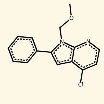 COCn1c(-c2ccccc2)cc2c(Cl)ccnc21